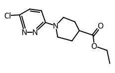 CCOC(=O)C1CCN(c2ccc(Cl)nn2)CC1